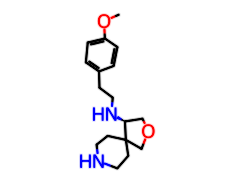 COc1ccc(CCN[C@H]2COCC23CCNCC3)cc1